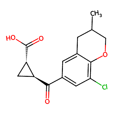 CC1COc2c(Cl)cc(C(=O)[C@H]3C[C@@H]3C(=O)O)cc2C1